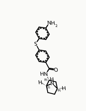 Nc1ccc(Sc2ccc(C(=O)N[C@@H]3C[C@H]4CC[C@@H]3N4)cc2)cc1